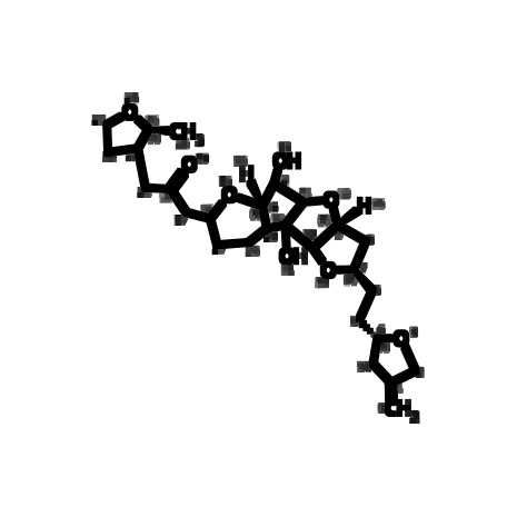 C=C1CO[C@@H](CC[C@@H]2C[C@H]3OC4C(O)[C@H]5OC(CC(=O)CC6CCO[C@H]6C)CCC5C4(O)C3O2)C1